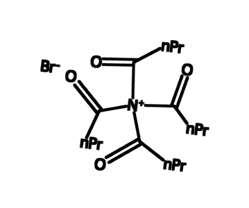 CCCC(=O)[N+](C(=O)CCC)(C(=O)CCC)C(=O)CCC.[Br-]